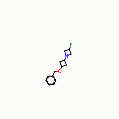 FC1CN(C2CC(OCc3ccccc3)C2)C1